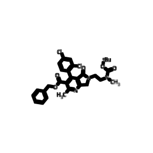 Cc1nc2c(c(-c3ccc(Cl)cc3Cl)c1C(=O)OCc1ccccc1)C(=O)N(CCN(C)C(=O)OC(C)(C)C)C2